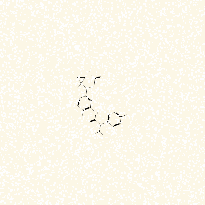 CC(C(C(=O)Nc1cc(C(CC(=O)OC(C)(C)C)C2(F)CC2)ccc1Cl)c1ccc(Cl)cc1)C(F)(F)F